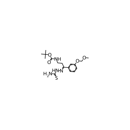 COCOc1cccc(C(CCNC(=O)OC(C)(C)C)=NNC(N)=S)c1